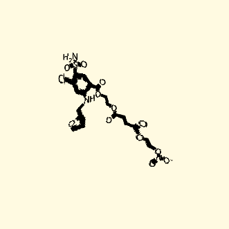 NS(=O)(=O)c1cc(C(=O)OCCOC(=O)CCC(=O)OCCO[N+](=O)[O-])c(NCc2ccco2)cc1Cl